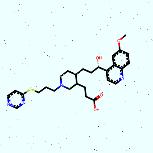 COc1ccc2nccc([C@@H](O)CCC3CCN(CCCSc4ccncn4)CC3CCC(=O)O)c2c1